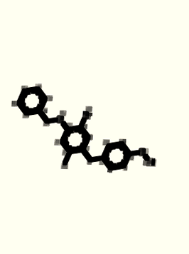 CCOc1ccc(Cc2cc(Br)c(OCc3ccccc3)cc2C)cc1